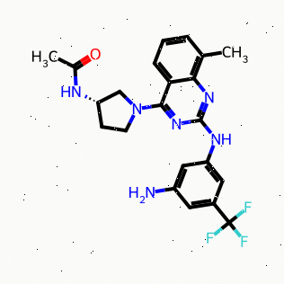 CC(=O)N[C@H]1CCN(c2nc(Nc3cc(N)cc(C(F)(F)F)c3)nc3c(C)cccc23)C1